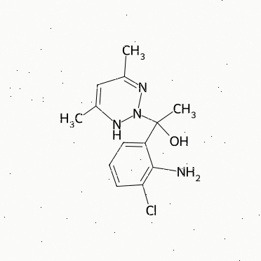 CC1=CC(C)=NN(C(C)(O)c2cccc(Cl)c2N)N1